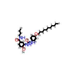 CCCCCCCCCCCOc1ccc(NC(=O)Nc2cc(C(=O)NCCCC)ccc2OC)cc1